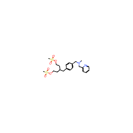 CN(Cc1ccc(CC(CCOS(C)(=O)=O)CCOS(C)(=O)=O)cc1)Cc1ccccn1